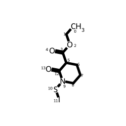 CCOC(=O)C1CCCN(SI)C1=O